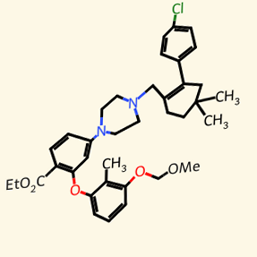 CCOC(=O)c1ccc(N2CCN(CC3=C(c4ccc(Cl)cc4)CC(C)(C)CC3)CC2)cc1Oc1cccc(OCOC)c1C